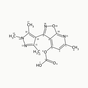 Cc1cc(OC(=O)O)c2c(-c3c(C)nn(C)c3C)noc2n1